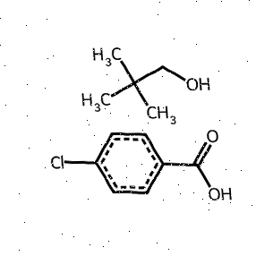 CC(C)(C)CO.O=C(O)c1ccc(Cl)cc1